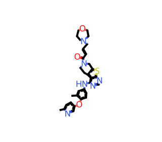 Cc1ccc(Oc2ccc(Nc3ncnc4sc5c(c34)CCN(C(=O)/C=C/CN3CCCOCC3)C5)cc2C)cn1